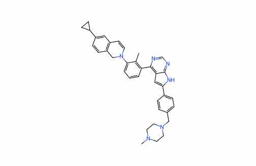 Cc1c(-c2ncnc3[nH]c(-c4ccc(CN5CCN(C)CC5)cc4)cc23)cccc1N1C=Cc2cc(C3CC3)ccc2C1